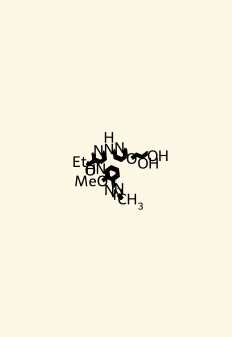 CCC(=O)c1cnc(Nc2ccc(OC[C@@H](O)CO)cn2)cc1Nc1cccc(-c2ncn(C)n2)c1OC